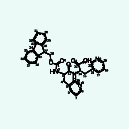 O=C(N[C@H](Cc1cccnc1)C(=O)N[C@H](Cc1cccnc1)C(=O)O)OCC1c2ccccc2-c2ccccc21